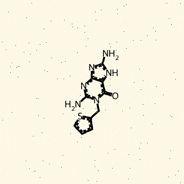 Nc1nc2nc(N)n(Cc3cccs3)c(=O)c2[nH]1